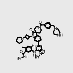 Cc1cc(F)c(Nc2nc(-c3ccc4c(c3)N(C3CC(N5CCCCC5)C3)C(=O)C43CCN(C(=O)c4ccc(CN5CCNCC5)cc4)CC3)cc3ncn(C(C)C)c23)cc1C(=O)NC(C)C